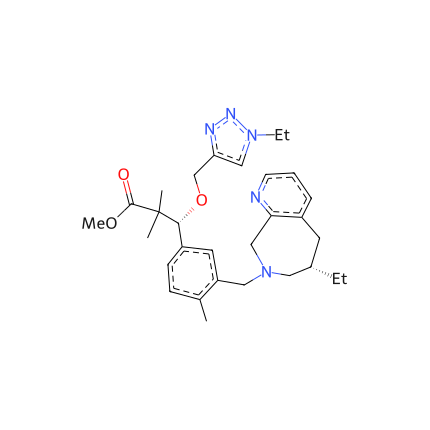 CC[C@H]1Cc2cccnc2CN(Cc2cc([C@@H](OCc3cn(CC)nn3)C(C)(C)C(=O)OC)ccc2C)C1